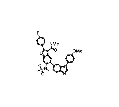 CNC(=O)c1c(-c2ccc(F)cc2)oc2cc(N(C)S(C)(=O)=O)c(-c3ccc4ncn(-c5ccc(OC)cc5)c4c3)cc12